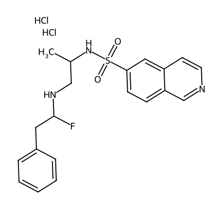 CC(CNC(F)Cc1ccccc1)NS(=O)(=O)c1ccc2cnccc2c1.Cl.Cl